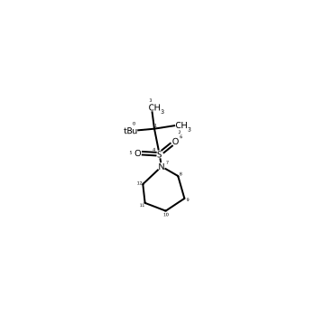 CC(C)(C)C(C)(C)S(=O)(=O)N1CCCCC1